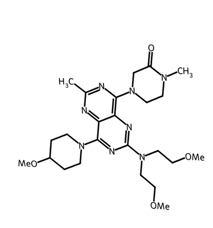 COCCN(CCOC)c1nc(N2CCC(OC)CC2)c2nc(C)nc(N3CCN(C)C(=O)C3)c2n1